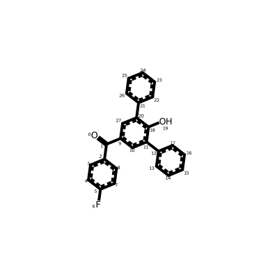 O=C(c1ccc(F)cc1)c1cc(-c2ccccc2)c(O)c(-c2ccccc2)c1